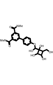 CNC(=O)c1cc(C(=O)NC)cc(-c2ccc(OC(O)C3(O)C(O)C(O)C3CO)cc2)c1